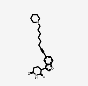 O=C1CCC(c2coc3ccc(C#CCCCCCCN4CCCCC4)cc23)C(=O)N1